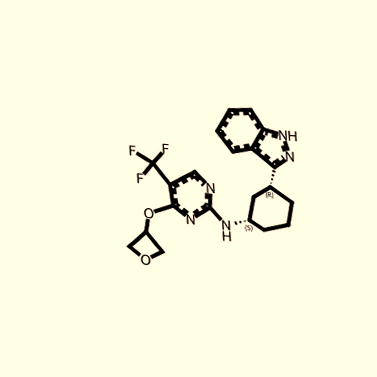 FC(F)(F)c1cnc(N[C@H]2CCC[C@@H](c3n[nH]c4ccccc34)C2)nc1OC1COC1